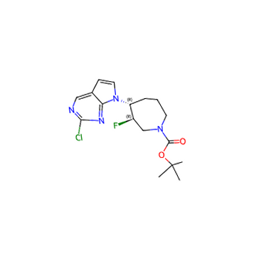 CC(C)(C)OC(=O)N1CCC[C@@H](n2ccc3cnc(Cl)nc32)[C@H](F)C1